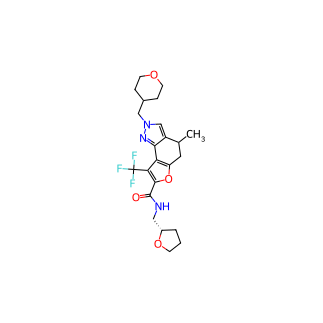 CC1Cc2oc(C(=O)NC[C@@H]3CCCO3)c(C(F)(F)F)c2-c2nn(CC3CCOCC3)cc21